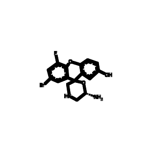 N[C@@H]1CNCC2(O1)c1cc(O)ccc1Oc1c(F)cc(Br)cc12